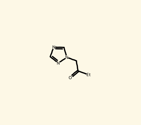 CCC(=O)Cn1cncn1